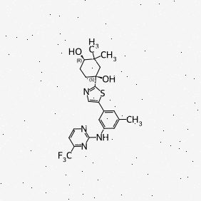 Cc1cc(Nc2nccc(C(F)(F)F)n2)cc(-c2cnc([C@]3(O)CC[C@@H](O)C(C)(C)C3)s2)c1